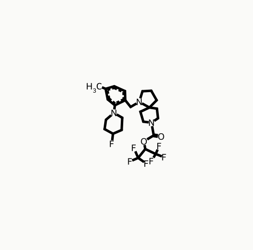 Cc1ccc(CN2CCCC23CCN(C(=O)OC(C(F)(F)F)C(F)(F)F)CC3)c(N2CCC(F)CC2)c1